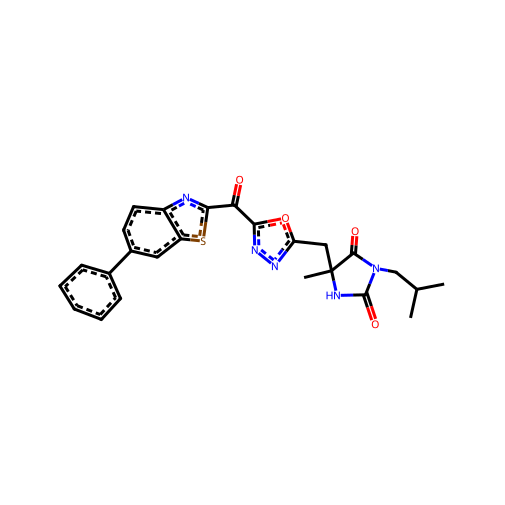 CC(C)CN1C(=O)NC(C)(Cc2nnc(C(=O)c3nc4ccc(-c5ccccc5)cc4s3)o2)C1=O